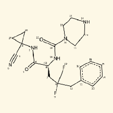 N#CC1(NC(=O)[C@H](CC(F)(F)Cc2ccccc2)NC(=O)N2CCNCC2)CC1